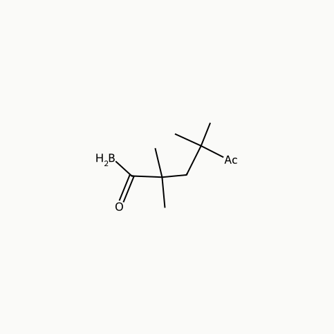 BC(=O)C(C)(C)CC(C)(C)C(C)=O